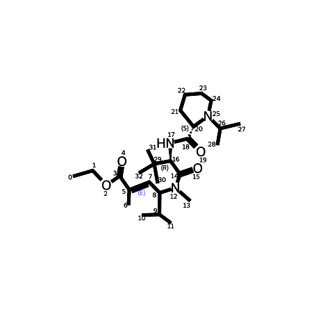 CCOC(=O)/C(C)=C/C(C(C)C)N(C)C(=O)[C@H](NC(=O)[C@@H]1CCCCN1C(C)C)C(C)(C)C